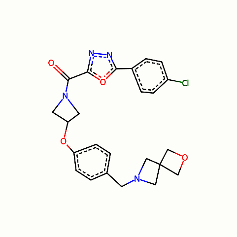 O=C(c1nnc(-c2ccc(Cl)cc2)o1)N1CC(Oc2ccc(CN3CC4(COC4)C3)cc2)C1